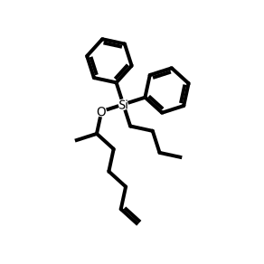 C=CCCCC(C)O[Si](CCCC)(c1ccccc1)c1ccccc1